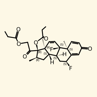 CCC(=O)OCC(=O)[C@@]1(OC(=O)CC)[C@H](C)C[C@H]2[C@@H]3C[C@H](F)C4=CC(=O)C=C[C@]4(C)[C@@]3(F)C=C[C@@]21C